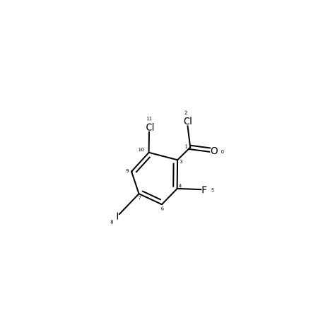 O=C(Cl)c1c(F)cc(I)cc1Cl